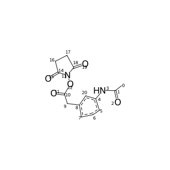 CC(=O)Nc1cccc(CC(=O)ON2C(=O)CCC2=O)c1